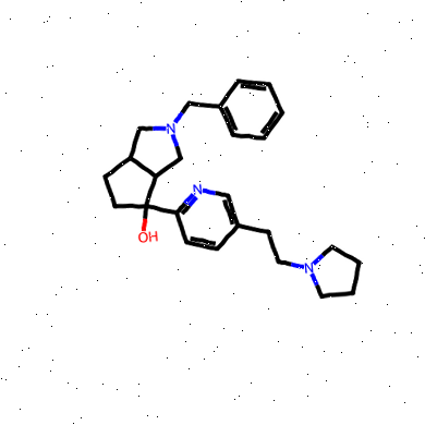 OC1(c2ccc(CCN3CCCC3)cn2)CCC2CN(Cc3ccccc3)CC21